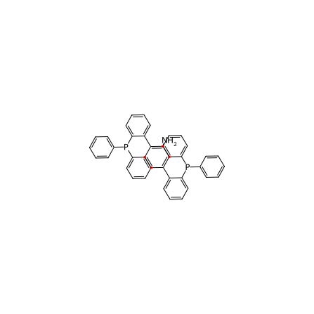 Nc1cc(-c2ccccc2P(c2ccccc2)c2ccccc2)ccc1-c1ccccc1P(c1ccccc1)c1ccccc1